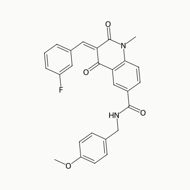 COc1ccc(CNC(=O)c2ccc3c(c2)C(=O)/C(=C\c2cccc(F)c2)C(=O)N3C)cc1